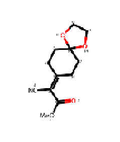 COC(=O)C(C#N)=C1CCC2(CC1)OCCO2